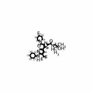 CC(C)(O)CNC(=O)c1nc(C(=O)N2CCC(F)CC2)c(-c2cnc(NC3CCCCC3)c(C(F)F)c2)s1